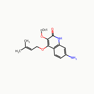 CCCCCCCCOc1c(OCC=C(C)C)c2ccc(N)cc2[nH]c1=O